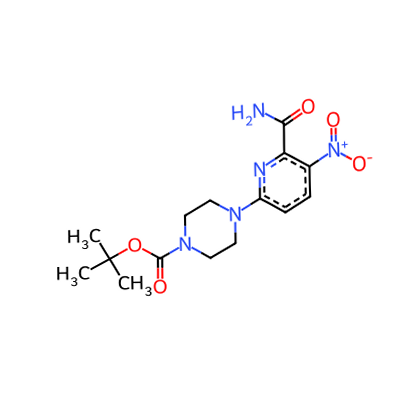 CC(C)(C)OC(=O)N1CCN(c2ccc([N+](=O)[O-])c(C(N)=O)n2)CC1